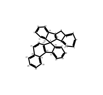 c1cnc2c(c1)CC1=C2C2(c3ccccc31)c1ccccc1-c1c2ccc2ccccc12